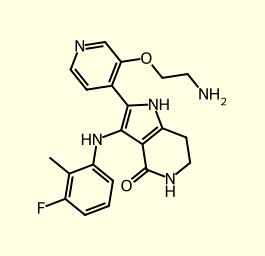 Cc1c(F)cccc1Nc1c(-c2ccncc2OCCN)[nH]c2c1C(=O)NCC2